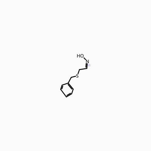 O/N=C\CSCc1ccccc1